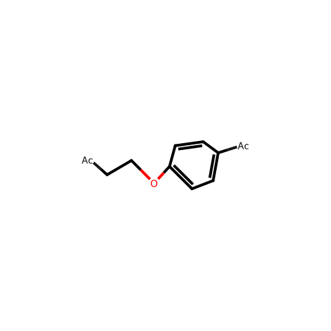 CC(=O)CCOc1ccc(C(C)=O)cc1